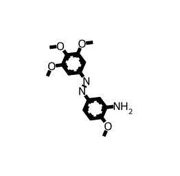 COc1ccc(N=Nc2cc(OC)c(OC)c(OC)c2)cc1N